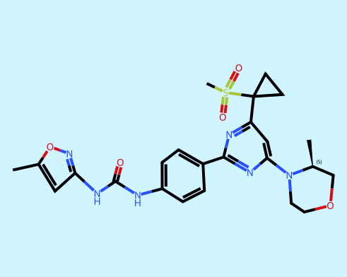 Cc1cc(NC(=O)Nc2ccc(-c3nc(N4CCOC[C@@H]4C)cc(C4(S(C)(=O)=O)CC4)n3)cc2)no1